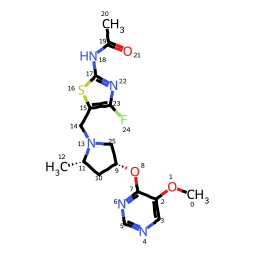 COc1cncnc1O[C@@H]1C[C@H](C)N(Cc2sc(NC(C)=O)nc2F)C1